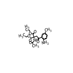 CCOC(=O)C(CC(=O)c1cc(C)ccc1N)(NC(C)=O)C(=O)OCC